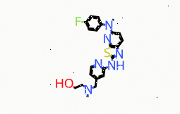 CN(CCO)Cc1ccnc(Nc2nc3ccc(N(C)c4ccc(F)cc4)nc3s2)c1